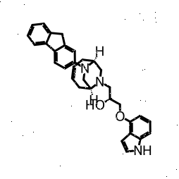 O[C@H](COc1cccc2[nH]ccc12)CN1C[C@@H]2C/C=C\C[C@H]1CN2c1ccc2c(c1)Cc1ccccc1-2